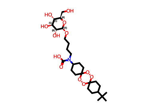 CC(C)(C)C1CCC2(CC1)OOC1(CCC(N(CCCCO[C@@H]3O[C@H](CO)[C@@H](O)[C@H](O)[C@H]3O)C(=O)O)CC1)OO2